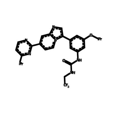 CC(C)Oc1cc(NC(=O)NCC(F)(F)F)cc(-c2cnc3cc(-c4nccc(C(C)C)n4)ccn23)c1